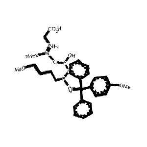 CCCCCCN(NCC(=O)O)OP(O)NN(CCCCOC)OC(c1ccccc1)(c1ccccc1)c1ccc(OC)cc1